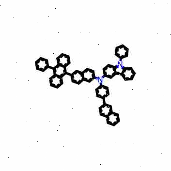 c1ccc(-c2c3ccccc3c(-c3ccc4cc(N(c5ccc(-c6ccc7ccccc7c6)cc5)c5ccc6c(c5)c5ccccc5n6-c5ccccc5)ccc4c3)c3ccccc23)cc1